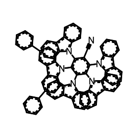 N#Cc1c(-n2c3ccccc3c3ccccc32)c(-n2c3ccccc3c3ccccc32)c(-n2c3ccccc3c3ccccc32)c(-n2c3ccc(-c4ccccc4)cc3c3cc(-c4ccccc4)ccc32)c1-n1c2ccccc2c2ccccc21